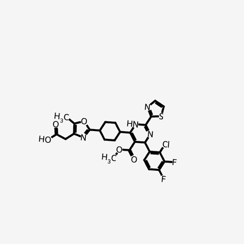 COC(=O)C1=C(C2CCC(c3nc(CC(=O)O)c(C)o3)CC2)NC(c2nccs2)=NC1c1ccc(F)c(F)c1Cl